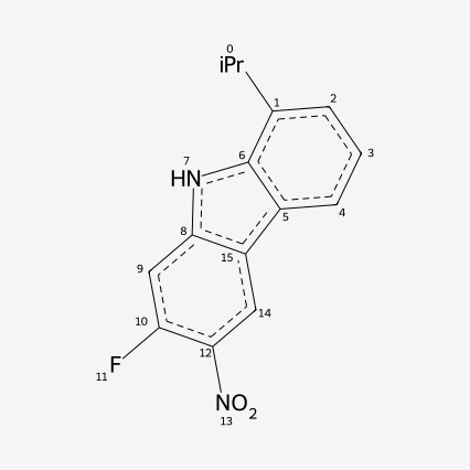 CC(C)c1cccc2c1[nH]c1cc(F)c([N+](=O)[O-])cc12